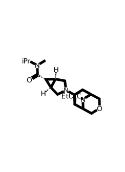 CCOC(=O)N1C2COCC1CC(N1C[C@@H]3[C@H](C1)[C@H]3C(=O)N(C)C(C)C)C2